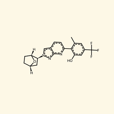 Cc1cc(C(F)(F)F)cc(O)c1-c1ccc2cn([C@H]3C[C@@H]4CC[C@H]3O4)nc2n1